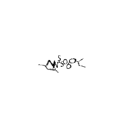 CCC(C)OC(=O)OSC(=S)n1nc(C)cc1C